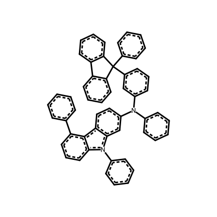 c1ccc(-c2cccc3c2c2ccc(N(c4ccccc4)c4cccc(C5(c6ccccc6)c6ccccc6-c6ccccc65)c4)cc2n3-c2ccccc2)cc1